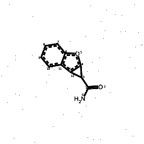 NC(=O)C1c2oc3ccccc3c21